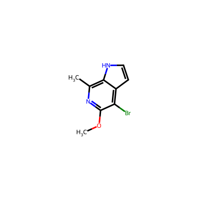 COc1nc(C)c2[nH]ccc2c1Br